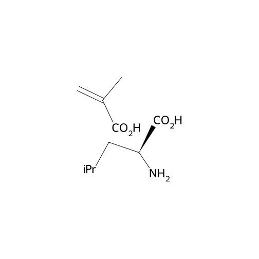 C=C(C)C(=O)O.CC(C)C[C@H](N)C(=O)O